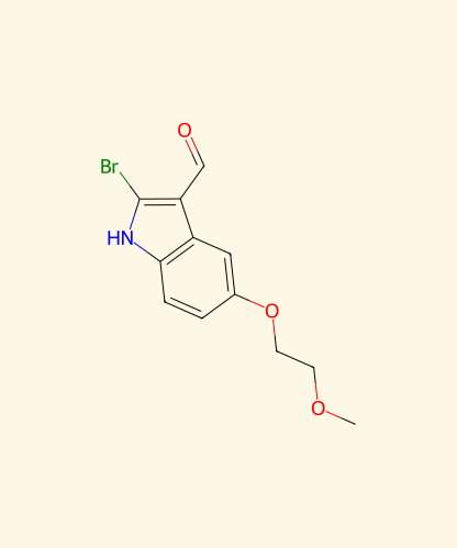 COCCOc1ccc2[nH]c(Br)c(C=O)c2c1